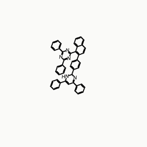 C1=C(c2ccccc2)NC(c2ccc(-c3ccc4ccccc4c3-c3nc(-c4ccccc4)nc(-c4ccccc4)n3)cc2)N=C1c1ccccc1